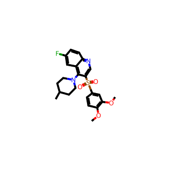 COc1ccc(S(=O)(=O)c2cnc3ccc(F)cc3c2N2CCC(C)CC2)cc1OC